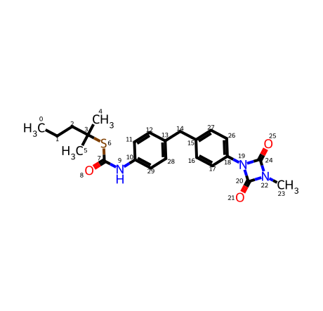 CCCC(C)(C)SC(=O)Nc1ccc(Cc2ccc(N3C(=O)N(C)C3=O)cc2)cc1